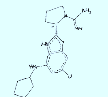 N=C(N)N1CCC[C@H]1c1cc2cc(Cl)cc(NC3CCCC3)c2[nH]1